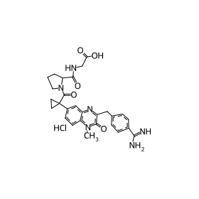 Cl.Cn1c(=O)c(Cc2ccc(C(=N)N)cc2)nc2cc(C3(C(=O)N4CCCC4C(=O)NCC(=O)O)CC3)ccc21